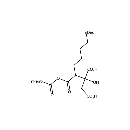 CCCCCCCCCCCCCCC(C(=O)OC(=O)CCCCC)C(O)(CC(=O)O)C(=O)O